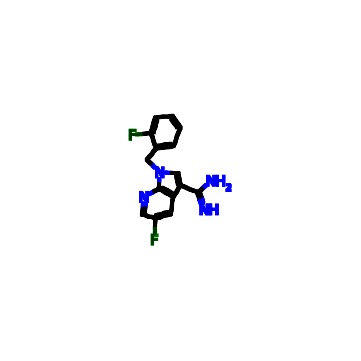 N=C(N)c1cn(Cc2ccccc2F)c2ncc(F)cc12